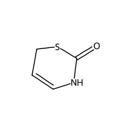 O=C1NC=CCS1